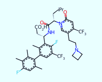 Cc1cc(F)c(C)c(C)c1-c1cc(C(F)(F)F)c(F)c([C@H](CC(=O)O)NC(=O)[C@H](CC(C)C)n2cc(CCN3CCC3)c(C(F)(F)F)cc2=O)c1C